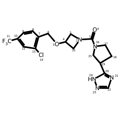 O=C(N1CC(OCc2ccc(C(F)(F)F)cc2Cl)C1)N1CCC(c2ncn[nH]2)C1